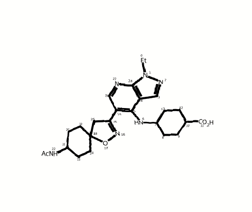 CCn1ncc2c(NC3CCC(C(=O)O)CC3)c(C3=NOC4(CCC(NC(C)=O)CC4)C3)cnc21